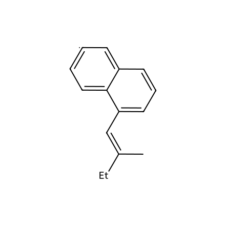 CC/C(C)=C/c1cccc2c[c]ccc12